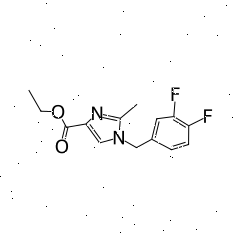 CCOC(=O)c1cn(Cc2ccc(F)c(F)c2)c(C)n1